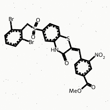 COC(=O)c1ccc(C=C2Sc3ccc(S(=O)(=O)Cc4c(Br)cccc4Br)cc3NC2=O)c([N+](=O)[O-])c1